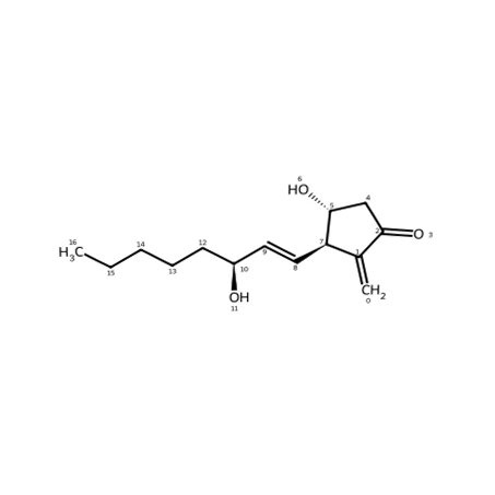 C=C1C(=O)C[C@@H](O)[C@@H]1C=C[C@@H](O)CCCCC